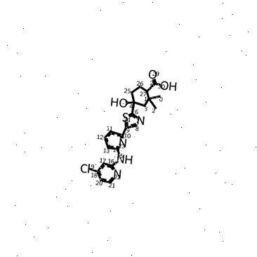 CC1(C)CC(O)(c2ncc(-c3cccc(Nc4cc(Cl)ccn4)n3)s2)CCC1C(=O)O